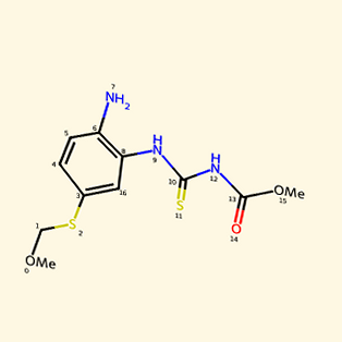 COCSc1ccc(N)c(NC(=S)NC(=O)OC)c1